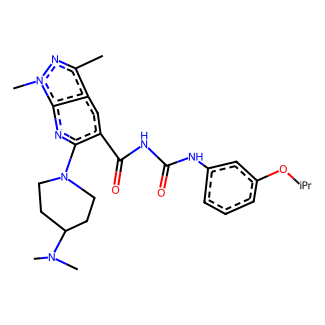 Cc1nn(C)c2nc(N3CCC(N(C)C)CC3)c(C(=O)NC(=O)Nc3cccc(OC(C)C)c3)cc12